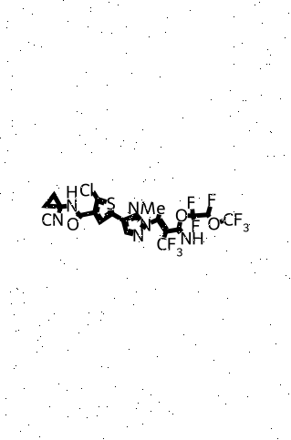 CN/C(=C(\C(=N)OC(F)(F)C(F)OC(F)(F)F)C(F)(F)F)n1cc(-c2cc(C(=O)NC3(C#N)CC3)c(Cl)s2)cn1